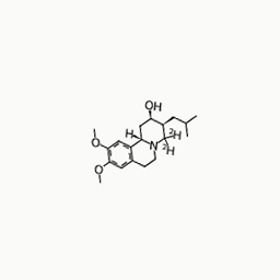 [2H]C1([2H])[C@H](CC(C)C)[C@H](O)C[C@H]2c3cc(OC)c(OC)cc3CCN21